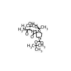 CC(=O)N1CCN(C(=O)OC(C)(C)C)CC12CN([C@H](C(N)=O)C(C)(C)O)C2=O